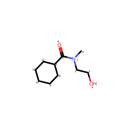 CN(CCO)C(=O)C1CCCCC1